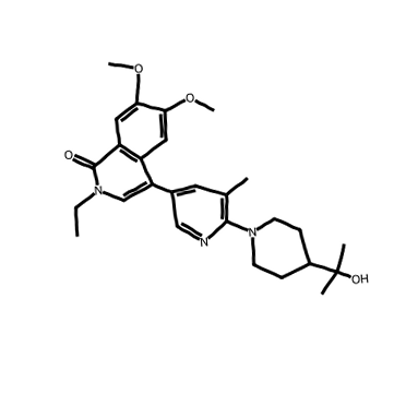 CCn1cc(-c2cnc(N3CCC(C(C)(C)O)CC3)c(C)c2)c2cc(OC)c(OC)cc2c1=O